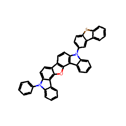 c1ccc(-n2c3ccccc3c3c4oc5c(ccc6c5c5ccccc5n6-c5ccc6sc7ccccc7c6c5)c4ccc32)cc1